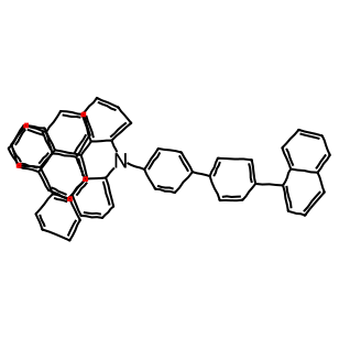 c1ccc(-c2cccc3cccc(-c4ccccc4N(c4ccc(-c5ccc(-c6cccc7ccccc67)cc5)cc4)c4ccccc4-c4cccc5ccccc45)c23)cc1